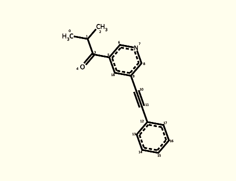 CC(C)C(=O)c1cncc(C#Cc2ccccc2)c1